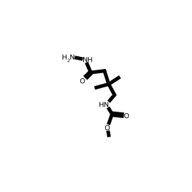 COC(=O)NCC(C)(C)CC(=O)NN